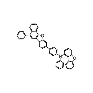 c1ccc(-c2cc3c4ccc(-c5ccc(N(c6ccccc6)c6cccc7oc8ccccc8c67)cc5)cc4oc3c3ccccc23)cc1